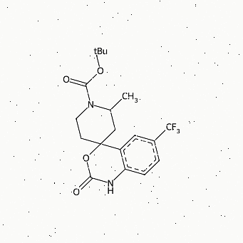 CC1CC2(CCN1C(=O)OC(C)(C)C)OC(=O)Nc1ccc(C(F)(F)F)cc12